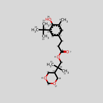 Cc1cc(CCC(=O)OCC(C)(C)C2COCOC2)cc(C(C)(C)C)c1O